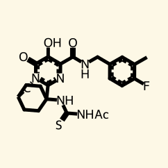 CC(=O)NC(=S)NC12CCC(CC1)Cn1c2nc(C(=O)NCc2ccc(F)c(C)c2)c(O)c1=O